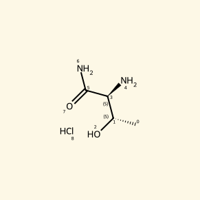 C[C@H](O)[C@H](N)C(N)=O.Cl